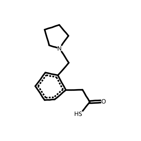 O=C(S)Cc1ccccc1CN1CCCC1